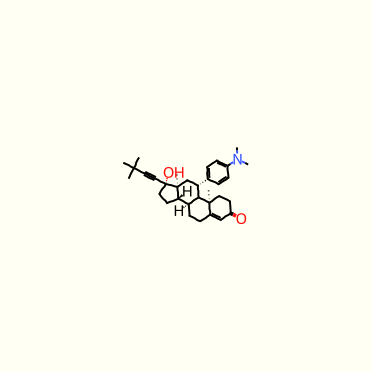 CN(C)c1ccc([C@H]2C[C@@]3(C)[C@@H](CC[C@@]3(O)C#CC(C)(C)C)[C@@H]3CCC4=CC(=O)CC[C@]4(C)C23)cc1